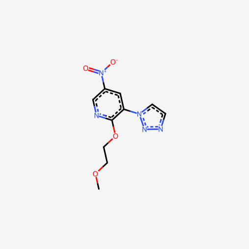 COCCOc1ncc([N+](=O)[O-])cc1-n1ccnn1